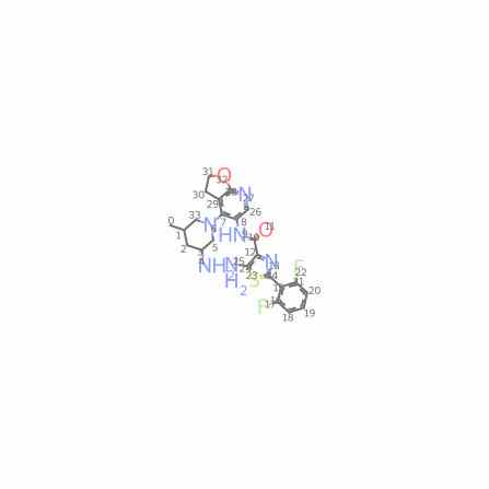 CC1CC(N)CN(c2c(NC(=O)c3nc(-c4c(F)cccc4F)sc3N)cnc3c2CCO3)C1